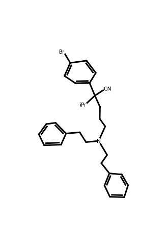 CC(C)C(C#N)(CCCN(CCc1ccccc1)CCc1ccccc1)c1ccc(Br)cc1